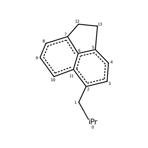 CC(C)Cc1ccc2c3c(cccc13)CC2